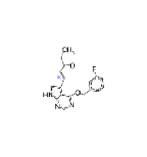 CCC(=O)/C=C/c1c[nH]c2ncnc(OCc3cccc(F)c3)c12